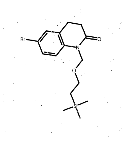 C[Si](C)(C)CCOCN1C(=O)CCc2cc(Br)ccc21